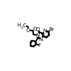 CCOC(=O)Cn1c(-c2ccccc2F)nc2ccc(Br)nc2c1=O